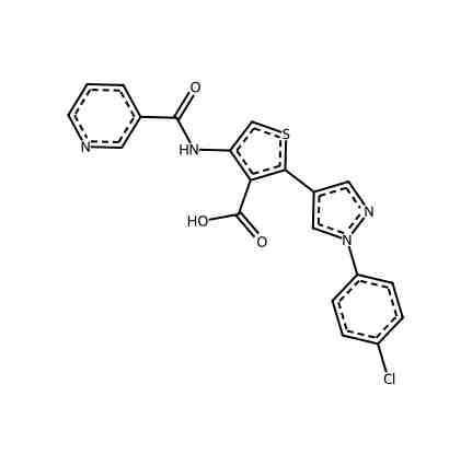 O=C(Nc1csc(-c2cnn(-c3ccc(Cl)cc3)c2)c1C(=O)O)c1cccnc1